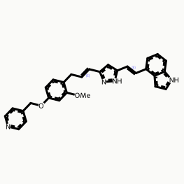 COc1cc(OCc2ccncc2)ccc1C/C=C/c1cc(/C=C/c2cccc3[nH]ccc23)[nH]n1